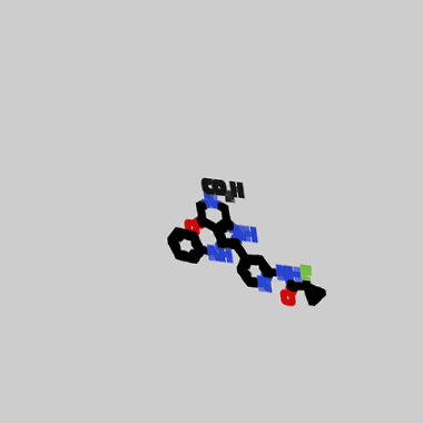 O=C1CN(C(=O)O)Cc2[nH]c(-c3ccnc(NC(=O)C4(F)CC4)c3)c(Nc3ccccc3)c21